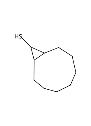 SC1C2CCCCCCCC12